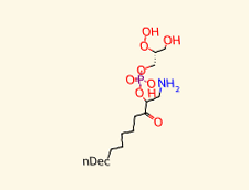 CCCCCCCCCCCCCCCC(=O)C(CN)OP(=O)(O)OC[C@@H](CO)OO